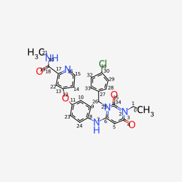 CCn1c(=O)cc(Nc2ccc(Oc3ccnc(C(=O)NC)c3)cc2)n(Cc2ccc(Cl)cc2)c1=O